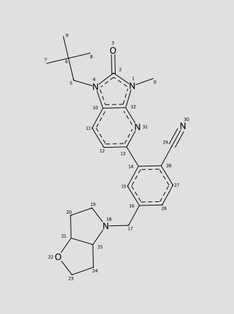 Cn1c(=O)n(CC(C)(C)C)c2ccc(-c3cc(CN4CCC5OCCC54)ccc3C#N)nc21